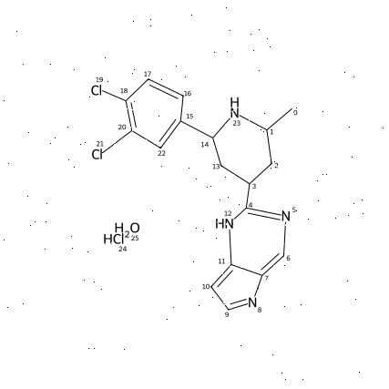 CC1CC(c2ncc3nccc-3[nH]2)CC(c2ccc(Cl)c(Cl)c2)N1.Cl.O